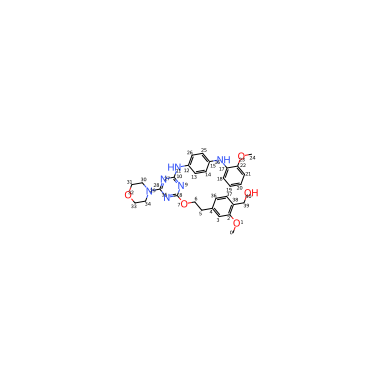 COc1cc(CCOc2nc(Nc3ccc(Nc4ccccc4OC)cc3)nc(N3CCOCC3)n2)ccc1CO